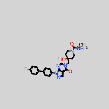 CNC(=O)N1CCC(O)(Cn2cnc3c(cnn3-c3ccc(-c4ccc(F)cc4)cc3)c2=O)CC1